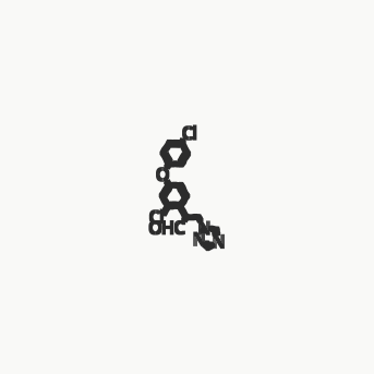 O=CC(Cn1cncn1)c1ccc(Oc2ccc(Cl)cc2)cc1Cl